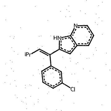 CC(C)C=C(c1cccc(Cl)c1)c1cc2cccnc2[nH]1